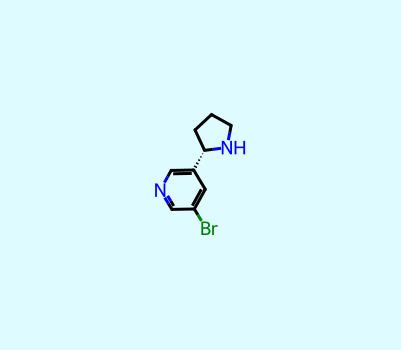 Brc1cncc([C@@H]2CCCN2)c1